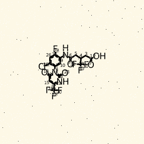 O=C(O)CC(CC(=O)Nc1cc(-n2c(=O)cc(C(F)(F)F)[nH]c2=O)c(Cl)cc1F)C(F)(F)F